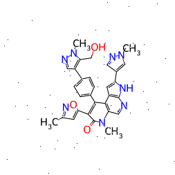 Cc1cc(-c2c(-c3ccc(-c4cnn(C)c4CO)cc3)c3c4cc(-c5cnn(C)c5)[nH]c4ncc3n(C)c2=O)on1